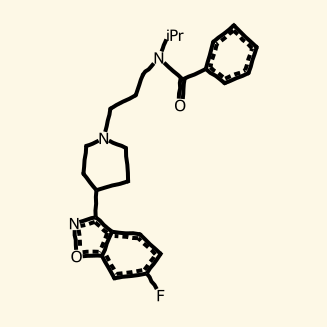 CC(C)N(CCCN1CCC(c2noc3cc(F)ccc23)CC1)C(=O)c1ccccc1